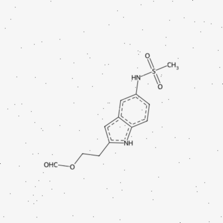 CS(=O)(=O)Nc1ccc2[nH]c(CCOC=O)cc2c1